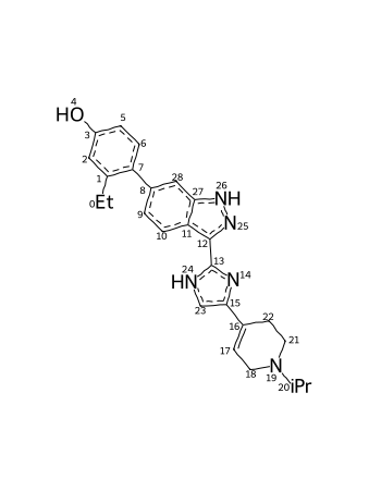 CCc1cc(O)ccc1-c1ccc2c(-c3nc(C4=CCN(C(C)C)CC4)c[nH]3)n[nH]c2c1